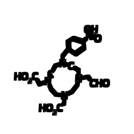 O=CCN1CCN(CC(=O)O)CCN(CC(=O)O)CCN(Cc2ccc([N+](=O)O)cc2)CC1